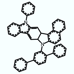 C1=c2c(n(-c3ccccc3)c3ccccc23)=CC2c3c(ccc4ccccc34)N(c3cc(-c4ccccc4)ccc3-c3ccccc3)C12